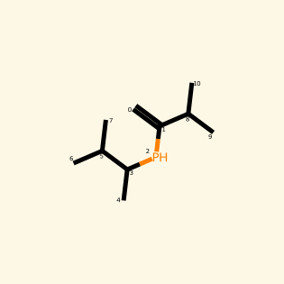 C=C(PC(C)C(C)C)C(C)C